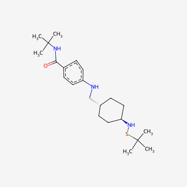 CC(C)(C)NC(=O)c1ccc(NC[C@H]2CC[C@H](NSC(C)(C)C)CC2)cc1